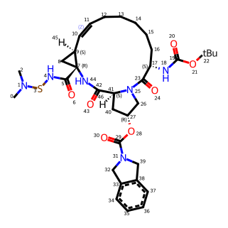 CN(C)SNC(=O)[C@@]12C[C@H]1/C=C\CCCCC[C@H](NC(=O)OC(C)(C)C)C(=O)N1C[C@H](OC(=O)N3Cc4ccccc4C3)C[C@H]1C(=O)N2